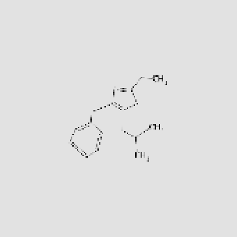 CCC1=CC(Cc2ccccc2)=C(CC(C)C)C1